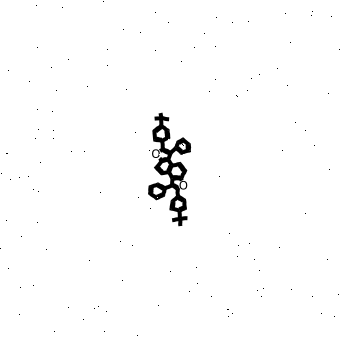 CC(C)(C)c1ccc(-c2oc3ccc4c(ccc5oc(-c6ccc(C(C)(C)C)cc6)c(-c6ccccc6)c54)c3c2-c2ccccc2)cc1